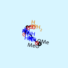 COc1cccc(OC)c1OCCCN/C=C(/CCNc1nc2c(c(=O)[nH]1)[n+](C)cn2C1CCC(COPOP)O1)N=N